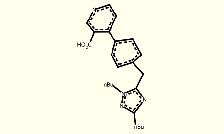 CCCCc1nc(Cc2ccc(-c3ccncc3C(=O)O)cc2)n(CCCC)n1